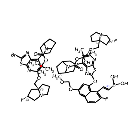 CC(C)(C)OC(=O)N1C2CCC1CN(c1nc(OC[C@@]34CCCN3C[C@H](F)C4)nc3sc(Br)nc13)C2.COCOc1cc(Oc2nc3c(N4CC5CCC(C4)N5C(=O)OC(C)(C)C)nc(OC[C@@]45CCCN4C[C@H](F)C5)nc3s2)c2c(/C=C/B(O)O)c(F)ccc2c1